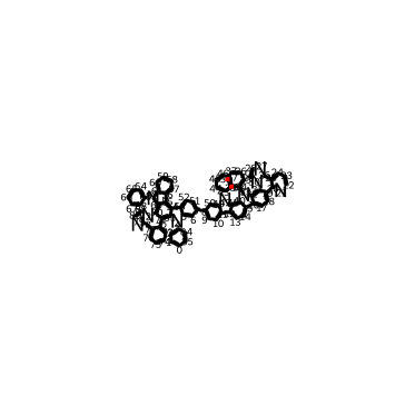 c1ccc(-n2c3cc(-c4ccc5c6ccc7c8ccc9c%10ncccc%10c%10nccn%10c9c8n(-c8ccccc8)c7c6n(-c6ccccc6)c5c4)ccc3c3c4c5ccccc5n(-c5ccccc5)c4c4c(c5ccccc5c5nccn54)c32)cc1